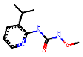 CONC(=O)Nc1ncccc1C(C)C